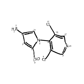 Bc1cc(C=O)n(-c2c(Cl)cncc2Cl)c1